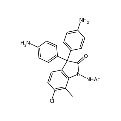 CC(=O)NN1C(=O)C(c2ccc(N)cc2)(c2ccc(N)cc2)c2ccc(Cl)c(C)c21